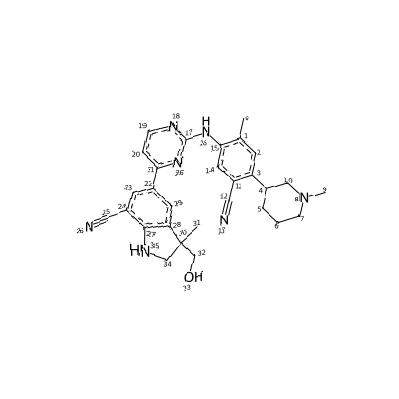 Cc1cc(C2CCCN(C)C2)c(C#N)cc1Nc1nccc(-c2cc(C#N)c3c(c2)C(C)(CO)CN3)n1